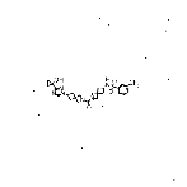 O=C(N1CC2(CC(NS(=O)(=O)c3cccc(C(F)(F)F)c3)C2)C1)N1CC2(CC(n3cnc(C4(O)CC4)n3)C2)C1